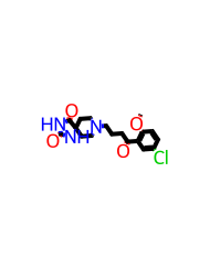 COc1ccc(Cl)cc1C(=O)CCCN1CCC2(CC1)NC(=O)NC2=O